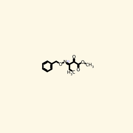 CC/C(=N\OCc1ccccc1)C(=O)C(=O)OC